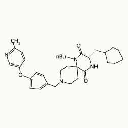 CCCCN1C(=O)[C@H](CC2CCCCC2)NC(=O)C12CCN(Cc1ccc(Oc3ccc(C)nc3)cc1)CC2